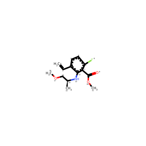 C=Cc1ccc(F)c(C(=O)OC)c1N[C@@H](C)COC